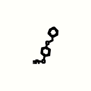 CCCOc1ccc(OCc2ccccc2)cc1